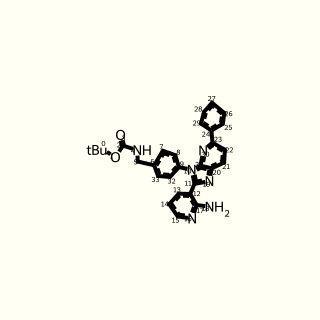 CC(C)(C)OC(=O)NCc1ccc(-n2c(-c3cccnc3N)nc3ccc(-c4ccccc4)nc32)cc1